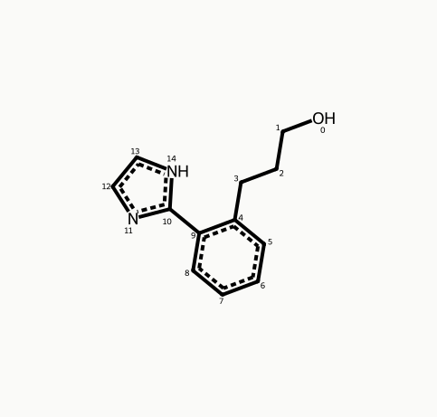 OCCCc1ccccc1-c1ncc[nH]1